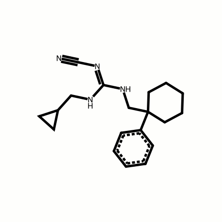 N#C/N=C(\NCC1CC1)NCC1(c2ccccc2)CCCCC1